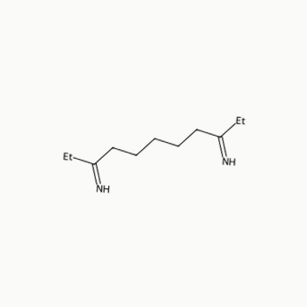 CCC(=N)CCCCCC(=N)CC